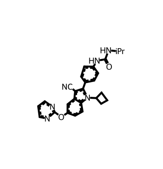 CC(C)NC(=O)Nc1ccc(-c2c(C#N)c3cc(Oc4ncccn4)ccc3n2C2CCC2)cc1